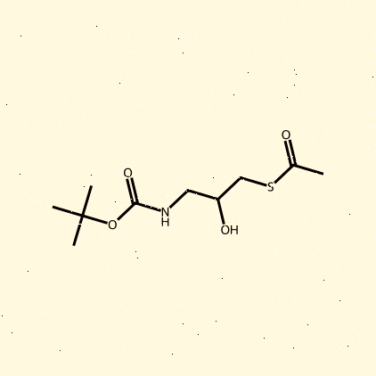 CC(=O)SCC(O)CNC(=O)OC(C)(C)C